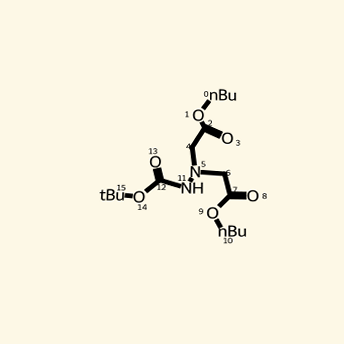 CCCCOC(=O)CN(CC(=O)OCCCC)NC(=O)OC(C)(C)C